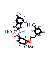 COc1ccc(C(=O)NC2(C(=O)O)Cc3ccc(C#N)cc3C2)cc1OCCc1cccc(C)c1